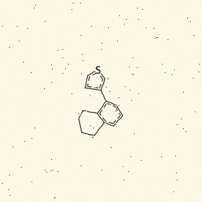 [c]1sccc1-c1cccc2c1CCCC2